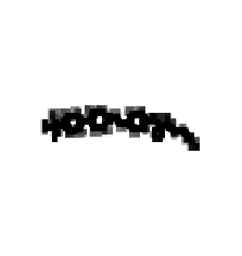 N#CCCCC(=O)NC1CCC(CCN2CC=C(c3ccc(C(F)(F)F)cc3)CC2)CC1